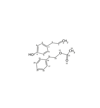 C=CCc1ccc(O)cc1.CC(=O)OCCc1ccccc1